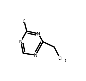 CCc1ncnc(Cl)n1